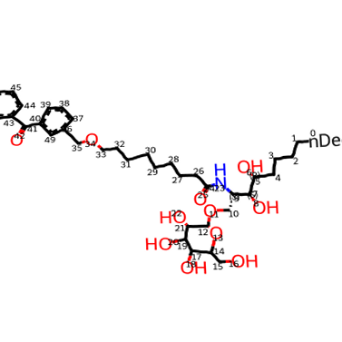 CCCCCCCCCCCCCC[C@@H](O)[C@@H](O)[C@H](COC1OC(CO)C(O)C(O)C1O)NC(=O)CCCCCCCCOCc1cccc(C(=O)c2ccccc2)c1